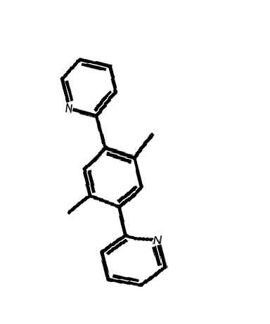 Cc1cc(-c2ccccn2)c(C)cc1-c1ccccn1